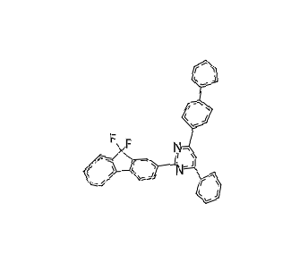 FC1(F)c2ccccc2-c2ccc(-c3nc(-c4ccccc4)cc(-c4ccc(-c5ccccc5)cc4)n3)cc21